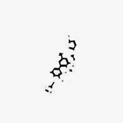 COc1ccc(NC(=O)CN(C)c2cc(C(F)(F)F)cc(-c3cc(F)c(OCc4nnc[nH]4)c(OC)c3)c2N(C)C=O)cn1